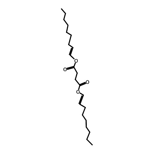 CCCCCCCC=COC(=O)CCC(=O)OC=CCCCCCCC